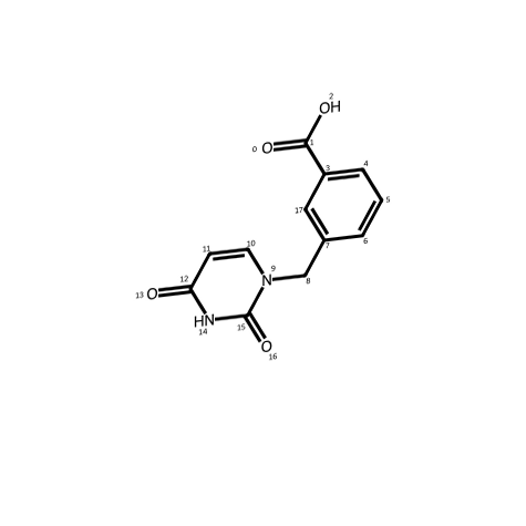 O=C(O)c1cccc(Cn2ccc(=O)[nH]c2=O)c1